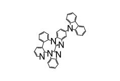 c1ccc2c(c1)nc1c3nc4cc(-n5c6ccccc6c6ccccc65)ccc4n3c3ccccc3c3cccnc3n21